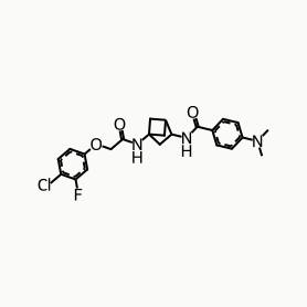 CN(C)c1ccc(C(=O)NC2CC3(NC(=O)COc4ccc(Cl)c(F)c4)CC2C3)cc1